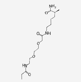 CCC(=O)NCCOCCOCC(=O)NCCCC[C@H](C)C(N)=O